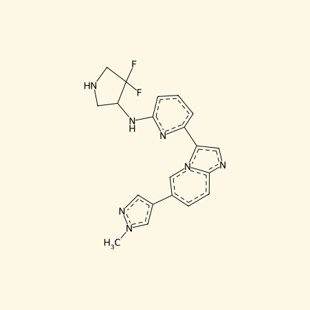 Cn1cc(-c2ccc3ncc(-c4cccc(NC5CNCC5(F)F)n4)n3c2)cn1